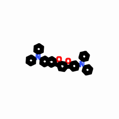 c1ccc(N(c2ccccc2)c2ccc3cc4c(cc3c2)oc2c4ccc3c4ccc(N(c5ccccc5)c5ccccc5)cc4oc32)cc1